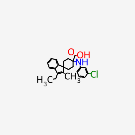 CCC1=C(C)C2(CCC(Nc3cccc(Cl)c3)(C(=O)O)CC2)c2ccccc21